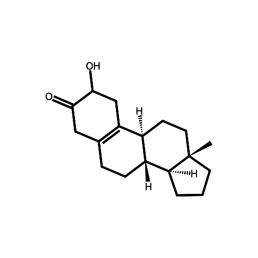 C[C@@]12CCC[C@H]1[C@@H]1CCC3=C(CC(O)C(=O)C3)[C@H]1CC2